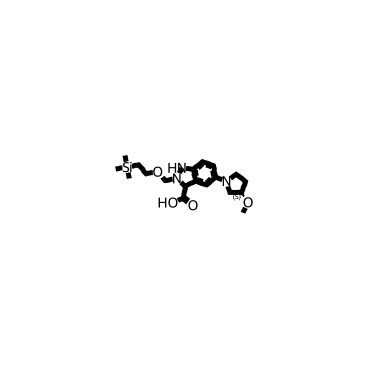 CO[C@H]1CCN(c2ccc3c(c2)C(C(=O)O)N(COCC[Si](C)(C)C)N3)C1